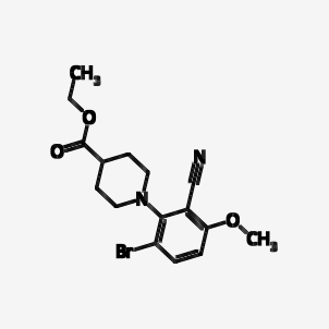 CCOC(=O)C1CCN(c2c(Br)ccc(OC)c2C#N)CC1